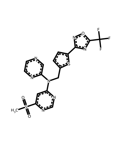 CS(=O)(=O)c1cc(N(Cc2ccc(-c3noc(C(F)(F)F)n3)s2)c2cnccn2)ncn1